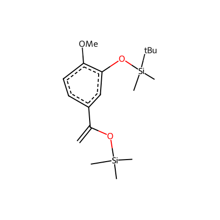 C=C(O[Si](C)(C)C)c1ccc(OC)c(O[Si](C)(C)C(C)(C)C)c1